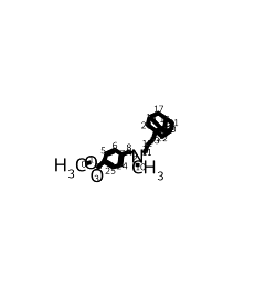 COC(=O)c1ccc(CN(C)CCCC23CC4CC(CC(C4)C2)C3)cc1